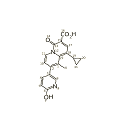 Cc1c(-c2ccc(O)nc2)ccn2c(=O)c(C(=O)O)cc(C3CC3)c12